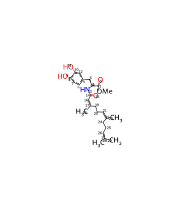 COC(=O)[C@H](Cc1ccc(O)c(O)c1)NC(=O)C=C(C)CCC=C(C)CCC=C(C)C